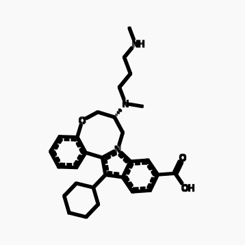 CNCCCN(C)[C@H]1COc2ccccc2-c2c(C3CCCCC3)c3ccc(C(=O)O)cc3n2C1